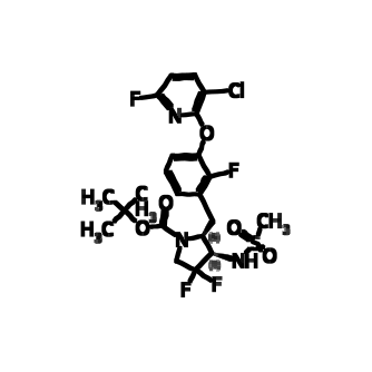 CC(C)(C)OC(=O)N1CC(F)(F)[C@H](NS(C)(=O)=O)[C@@H]1Cc1cccc(Oc2nc(F)ccc2Cl)c1F